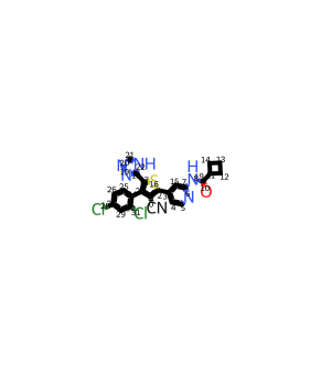 N#Cc1c(-c2ccnc(NC(=O)C3CCC3)c2)sc(-c2nnc[nH]2)c1-c1ccc(Cl)cc1Cl